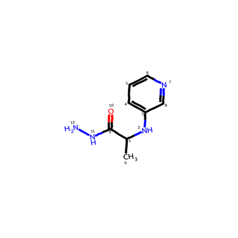 CC(Nc1cccnc1)C(=O)NN